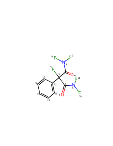 O=C(N(F)F)C(F)(C(=O)N(F)F)c1ccccc1